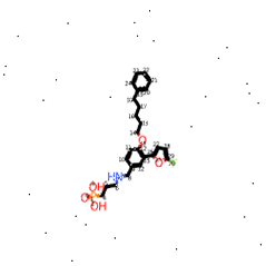 O=P(O)(O)CCCNCc1ccc(OCCCCCc2ccccc2)c(-c2ccc(F)o2)c1